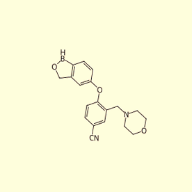 N#Cc1ccc(Oc2ccc3c(c2)COB3)c(CN2CCOCC2)c1